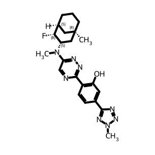 CN(c1cnc(-c2ccc(-c3nnn(C)n3)cc2O)nn1)[C@H]1C[C@]2(C)CCC[C@@H](C2)[C@H]1F